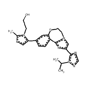 Cc1ncc(-c2ccc3c(c2)OCCn2cc(-c4ncnn4C(C)C)nc2-3)n1CCO